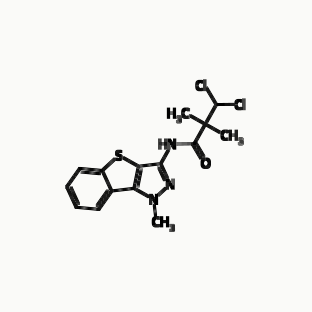 Cn1nc(NC(=O)C(C)(C)C(Cl)Cl)c2sc3ccccc3c21